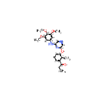 CCC(=O)c1cccc(Oc2cncc(Nc3cc(OC)c(OC)c(OC)c3)n2)c1C